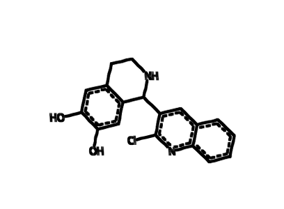 Oc1cc2c(cc1O)C(c1cc3ccccc3nc1Cl)NCC2